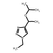 CCn1cc(C(C)OC(C)C)nn1